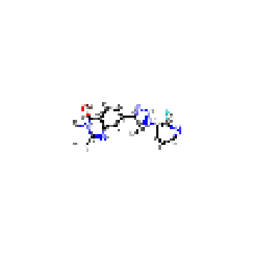 CCc1nc2cc(-c3nnn(-c4cccnc4F)c3C)ccc2c(=O)n1C